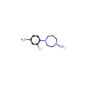 Cc1ccc(N2CCCN(C)CC2)c(Cl)c1